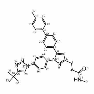 CNC(=O)CCc1cc(-c2ccc(-c3ccc(C)cc3)cc2)n(-c2ccc(-n3cc(C(C)(C)C)nn3)cc2)n1